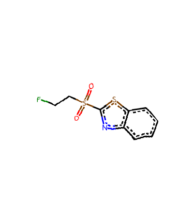 O=S(=O)(CCF)c1nc2ccccc2s1